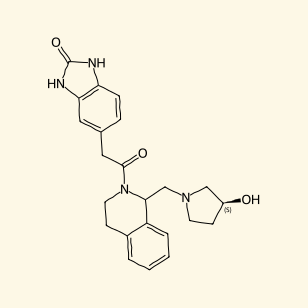 O=C(Cc1ccc2[nH]c(=O)[nH]c2c1)N1CCc2ccccc2C1CN1CC[C@H](O)C1